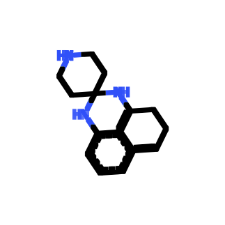 C1=c2cccc3c2=C(CC1)NC1(CCNCC1)N3